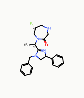 CC(C)(C)[C@H](C1=NC(c2ccccc2)CN1Cc1ccccc1)N1C[C@H](F)CNCC1=O